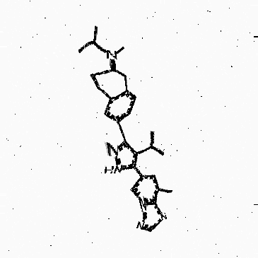 Cc1cc(-c2[nH]nc(-c3ccc4c(c3)CCC(N(C)C(C)C)C4)c2C(C)C)cn2ncnc12